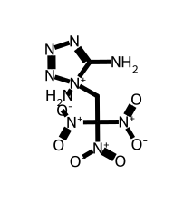 NC1=NN=N[N+]1(N)CC([N+](=O)[O-])([N+](=O)[O-])[N+](=O)[O-]